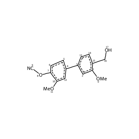 COc1cc(-c2ccc(OC#N)c(OC)c2)ccc1CO